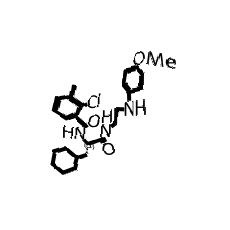 COc1ccc(NCCNC(=O)[C@H](CC2CCCCC2)NC(=O)c2cccc(C)c2Cl)cc1